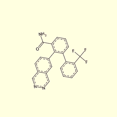 NC(=O)c1cccc(-c2ccccc2C(F)(F)F)c1-c1ccc2cnncc2c1